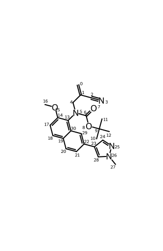 C=C(C#N)CN(C(=O)OC(C)(C)C)c1c(OC)ccc2ccc(-c3cnn(C)c3)cc12